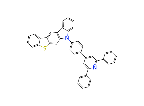 c1ccc(-c2cc(-c3ccc(-n4c5ccccc5c5cc6c(cc54)sc4ccccc46)cc3)cc(-c3ccccc3)n2)cc1